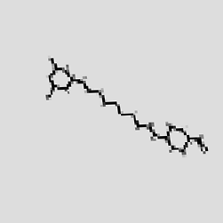 CC1CC(C)CC(CCCCCCCCCCC2CCC(C=O)CC2)C1